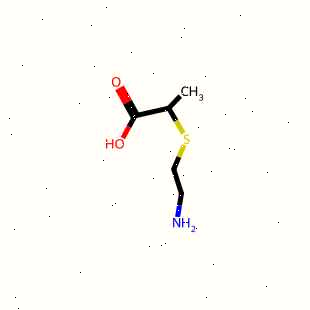 CC(SCCN)C(=O)O